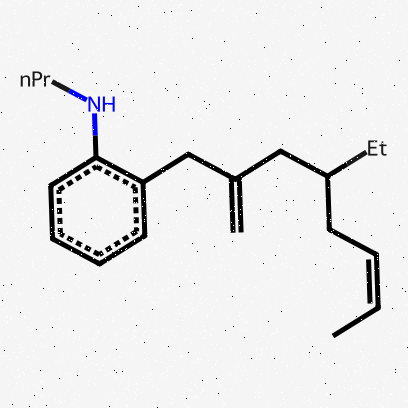 C=C(Cc1ccccc1NCCC)CC(CC)C/C=C\C